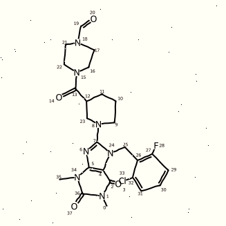 Cn1c(=O)c2c(nc(N3CCCC(C(=O)N4CCN(C=O)CC4)C3)n2Cc2c(F)cccc2Cl)n(C)c1=O